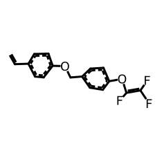 C=Cc1ccc(OCc2ccc(OC(F)=C(F)F)cc2)cc1